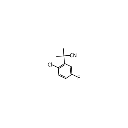 CC(C)(C#N)c1cc(F)ccc1Cl